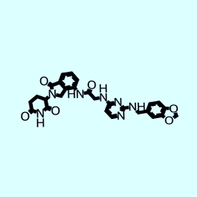 O=C1CCC(N2Cc3c(NC(=O)CNc4ccnc(NCc5ccc6c(c5)OCO6)n4)cccc3C2=O)C(=O)N1